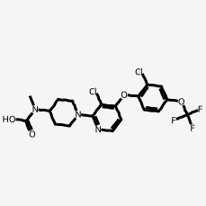 CN(C(=O)O)C1CCN(c2nccc(Oc3ccc(OC(F)(F)F)cc3Cl)c2Cl)CC1